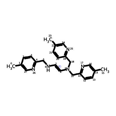 Cc1ccc(CN/C=C/N(Cc2ccc(C)cn2)Cc2ccc(C)cn2)nc1